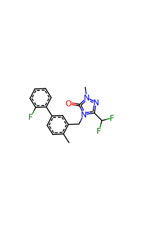 Cc1ccc(-c2ccccc2F)cc1Cn1c(C(F)F)nn(C)c1=O